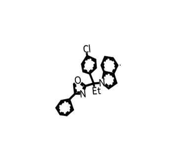 CCC(c1ccc(Cl)cc1)(c1nc(-c2ccccc2)co1)n1ccc2[c]cccc21